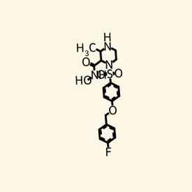 CC1NCCN(S(=O)(=O)c2ccc(OCc3ccc(F)cc3)cc2)C1C(=O)NO